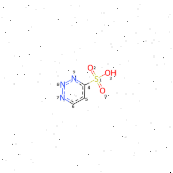 O=S(=O)(O)c1ccnnn1